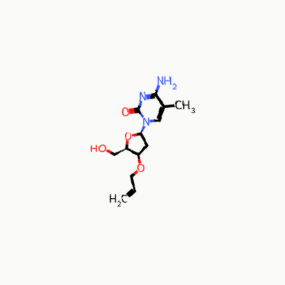 C=CCOC1C[C@H](n2cc(C)c(N)nc2=O)O[C@@H]1CO